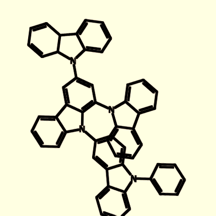 C1=CC2c3ccccc3N(c3cc(-n4c5ccccc5c5ccccc54)c4c(c3)c3ccccc3n4-c3ccc4c(c3)c3ccccc3n4-c3ccccc3)C2C=C1